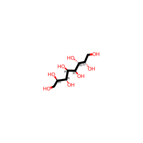 OC[C@@H](O)[C@@H](O)[C@@H](O)[C@H](O)[C@H](O)[C@@H](O)CO